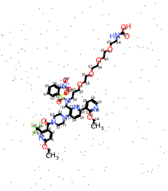 CCOc1ccc(C(=O)N2CCN(c3ccc(-c4cccnc4OCC)nc3CN(CCCOCCOCCOCCOCCNC(=O)O)S(=O)(=O)c3ccccc3[N+](=O)[O-])CC2)c(C(F)(F)F)n1